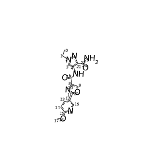 CCn1cc(NC(=O)c2coc(-c3ccc(OC)nc3)n2)c(C(N)=O)n1